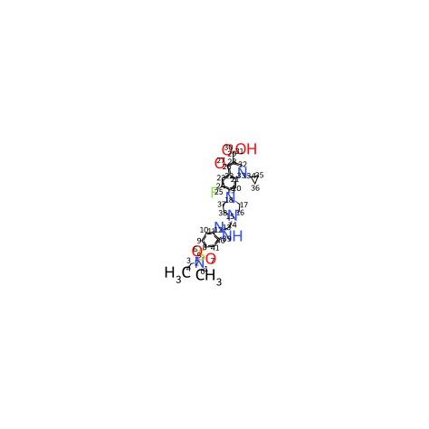 CCN(CC)S(=O)(=O)c1ccc2nc(CN3CCN(c4cc5c(cc4F)c(=O)c(C(=O)O)cn5C4CC4)CC3)[nH]c2c1